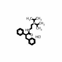 CC(C)N(CCNC(=O)C(Cc1ccccc1)c1ccccc1)C(C)C.Cl